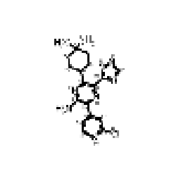 CC1(N)CCC(c2nc(N)c(-c3ccnc(Cl)c3)nc2-c2nnco2)CC1